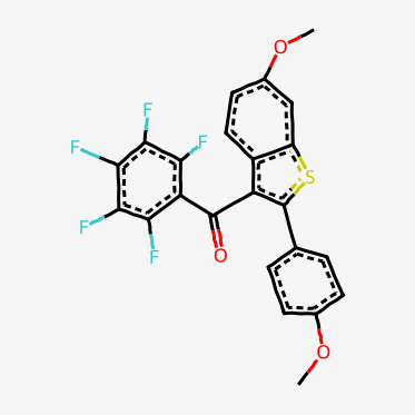 COc1ccc(-c2sc3cc(OC)ccc3c2C(=O)c2c(F)c(F)c(F)c(F)c2F)cc1